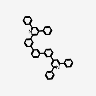 c1ccc(-c2cc(-c3ccccc3)nc(-c3cccc(-c4cccc(-c5cccc(-c6cc(-c7ccccc7)nc(-c7ccccc7)c6)c5)c4)c3)c2)cc1